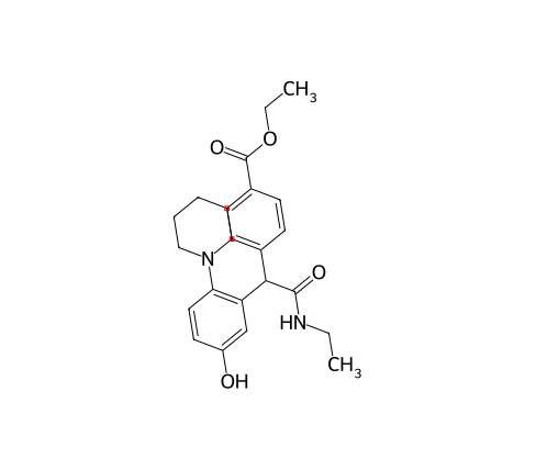 CCNC(=O)C(c1ccc(C(=O)OCC)cc1)c1cc(O)ccc1N1CCCCC1